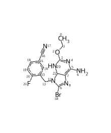 CCOC1=NC(N)=C2N=C(Br)N(Cc3cc(C#N)ccc3F)C2N1